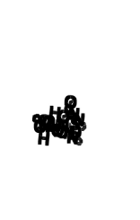 C=C[C@@H]1C[C@]1(NC(=O)[C@@H]1C[C@@H](Oc2cc(-c3nc4c(s3)CCCC4)nc3cc(OC)ccc23)CN1C(=O)[C@H](C(C)C)N1CCN(C2CCCC2)C1=O)C(=O)NS(=O)(=O)c1ccccc1